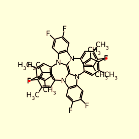 Cc1cc(N2C(=C3N(c4cc(C)c(F)c(C)c4)c4cc(F)c(F)cc4N3c3cc(C)c(F)c(C)c3)N(c3cc(C)c(F)c(C)c3)c3cc(F)c(F)cc32)cc(C)c1F